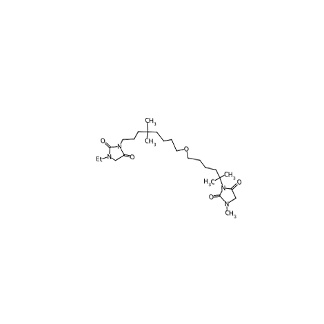 CCN1CC(=O)N(CCCC(C)(C)CCCCOCCCCC(C)(C)N2C(=O)CN(C)C2=O)C1=O